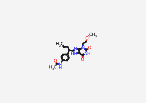 C=CCC(c1ccc(NC(C)=O)cc1)c1nc2c([nH]1)c(=O)[nH]c(=O)n2CCOC